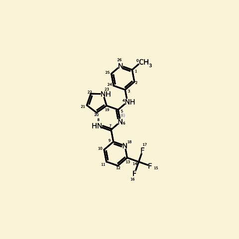 Cc1cc(N/C(=N/C(=N)c2cccc(C(F)(F)F)n2)c2ccc[nH]2)ccn1